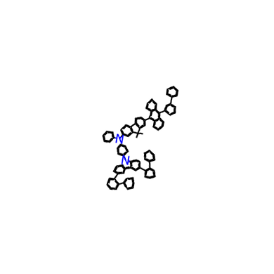 CC1(C)c2cc(-c3c4ccccc4c(-c4cccc(-c5ccccc5)c4)c4ccccc34)ccc2-c2ccc(N(c3ccccc3)c3ccc(-n4c5ccc(-c6ccccc6-c6ccccc6)cc5c5cc(-c6ccccc6-c6ccccc6)ccc54)cc3)cc21